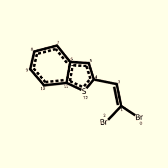 BrC(Br)=Cc1cc2ccccc2s1